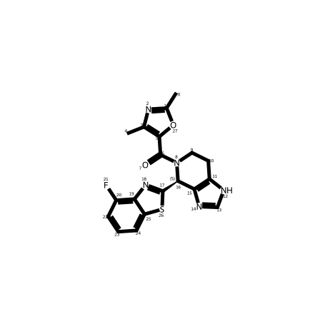 Cc1nc(C)c(C(=O)N2CCc3[nH]cnc3[C@H]2c2nc3c(F)cccc3s2)o1